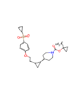 CC1(OC(=O)N2CCC([C@H]3C[C@H]3CCOc3ccc(S(=O)(=O)C4CC4)cc3)CC2)CC1